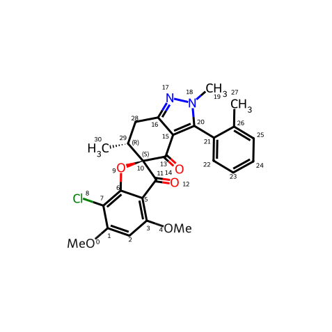 COc1cc(OC)c2c(c1Cl)O[C@]1(C2=O)C(=O)c2c(nn(C)c2-c2ccccc2C)C[C@H]1C